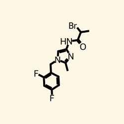 Cc1nc(NC(=O)C(C)Br)cn1Cc1ccc(F)cc1F